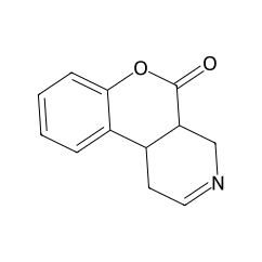 O=C1Oc2ccccc2C2CC=NCC12